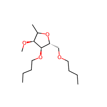 CCCCOC[C@H]1OC(C)[C@H](OC)[C@@H]1OCCCC